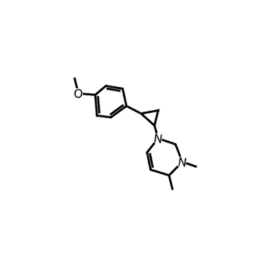 COc1ccc(C2CC2N2C=CC(C)N(C)C2)cc1